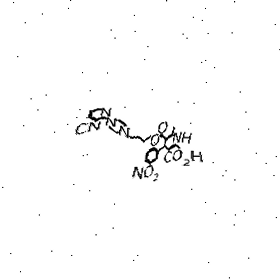 CC1=C(C(=O)O)C(c2cccc([N+](=O)[O-])c2)C(C(=O)OCCCCN2CCN(c3ncccc3C#N)CC2)=C(C)N1